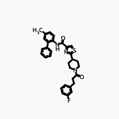 Cc1ccc(NC(=O)c2csc(C3CCN(C(=O)CCc4cccc(F)c4)CC3)n2)c(-c2ccccc2)c1